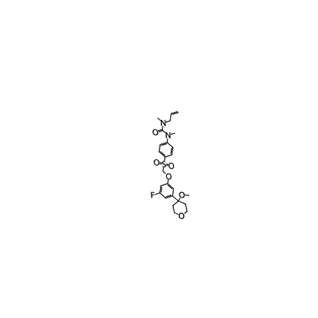 C=CCN(C)C(=O)N(C)c1ccc(S(=O)(=O)COc2cc(F)cc(C3(OC)CCOCC3)c2)cc1